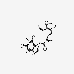 C/C=C\C1=C(/C=C/N(C)C(=O)Cn2cnc3c2c(=O)n(C)c(=O)n3C)OCO1